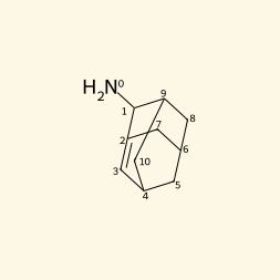 NC1C2=CC3CC(C2)CC1C3